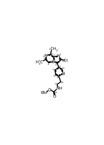 CCc1nc2c(C)nc(C)cn2c1-c1ccc(CCNC(=O)OC(C)(C)C)nc1